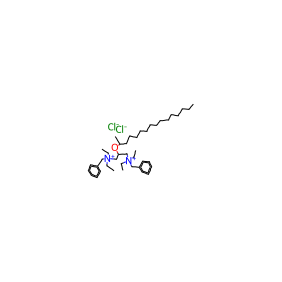 CCCCCCCCCCCCCCC(C)OC(C[N+](CC)(CC)Cc1ccccc1)C[N+](CC)(CC)Cc1ccccc1.[Cl-].[Cl-]